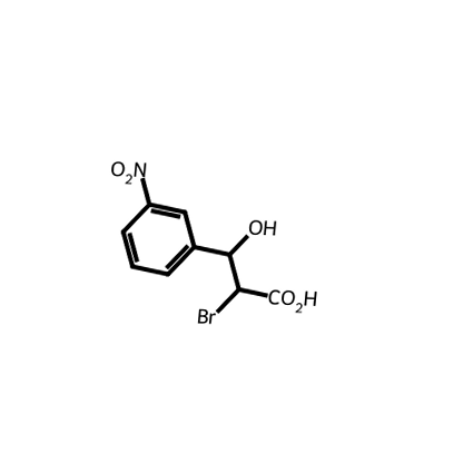 O=C(O)C(Br)C(O)c1cccc([N+](=O)[O-])c1